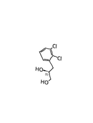 OC[C@@H](O)Cc1cccc(Cl)c1Cl